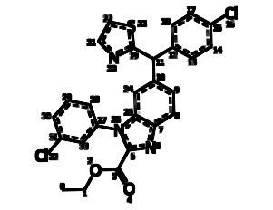 CCOC(=O)c1nc2ccc(C(c3ccc(Cl)cc3)c3nccs3)cc2n1-c1cccc(Cl)c1